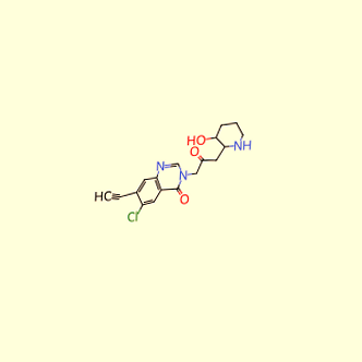 C#Cc1cc2ncn(CC(=O)CC3NCCCC3O)c(=O)c2cc1Cl